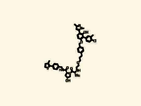 Cc1cc(-c2ccc(OCc3ccc(CCCOCCN[C@H](C(=O)N4C[C@H](O)C[C@H]4C(=O)NCc4ccc(-c5sccc5C)cc4)C(C)(C)C)cc3)c(-c3ccc(Cl)c(C)c3)c2O)n(C)n1